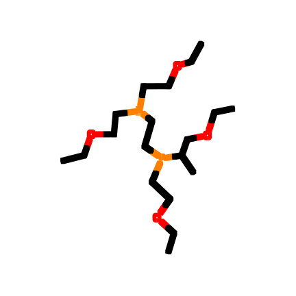 CCOCCP(CCOCC)CCP(CCOCC)C(C)COCC